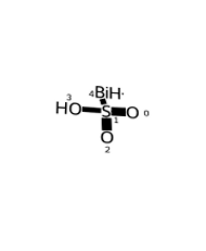 O=[S](=O)(O)[BiH]